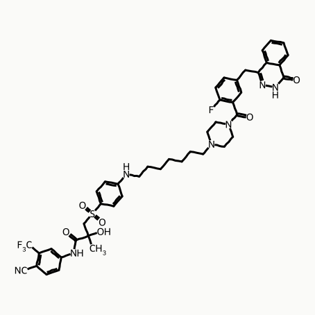 CC(O)(CS(=O)(=O)c1ccc(NCCCCCCCN2CCN(C(=O)c3cc(Cc4n[nH]c(=O)c5ccccc45)ccc3F)CC2)cc1)C(=O)Nc1ccc(C#N)c(C(F)(F)F)c1